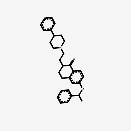 CC(Oc1ccc2c(c1)CCC(CCN1CCC(c3ccccc3)CC1)C2=O)c1ccccc1